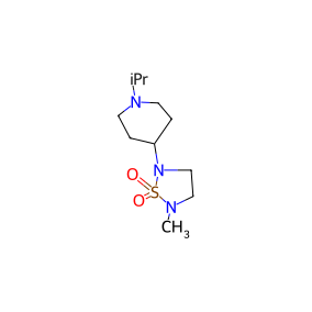 CC(C)N1CCC(N2CCN(C)S2(=O)=O)CC1